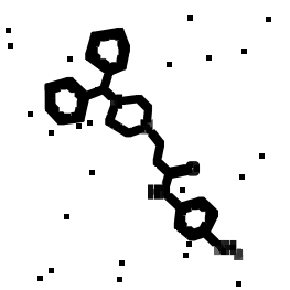 Nc1ccc(NC(=O)CCN2CCN(C(c3ccccc3)c3ccccc3)CC2)cc1